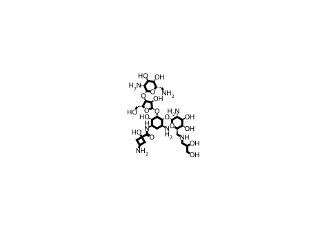 NC[C@@H]1O[C@H](O[C@H]2[C@@H](O)[C@H](O[C@@H]3[C@@H](O)[C@H](NC(=O)C4(O)CC(N)C4)C[C@H](N)[C@H]3O[C@H]3O[C@H](CNCC(O)CO)[C@@H](O)[C@H](O)[C@H]3N)O[C@@H]2CO)[C@H](N)[C@@H](O)[C@@H]1O